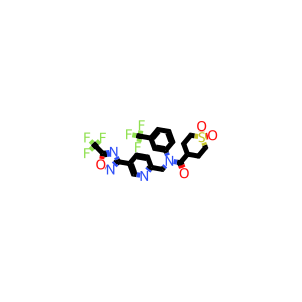 O=C(C1CCS(=O)(=O)CC1)N(Cc1ccc(-c2noc(C(F)(F)F)n2)cn1)c1cccc(C(F)(F)F)c1